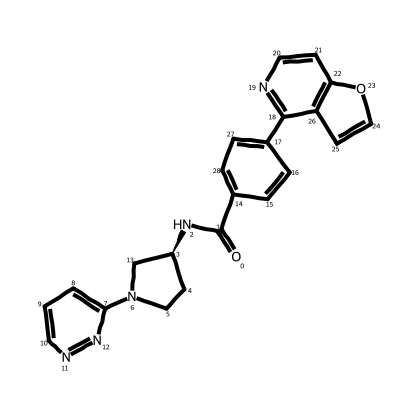 O=C(N[C@H]1CCN(c2cccnn2)C1)c1ccc(-c2nccc3occc23)cc1